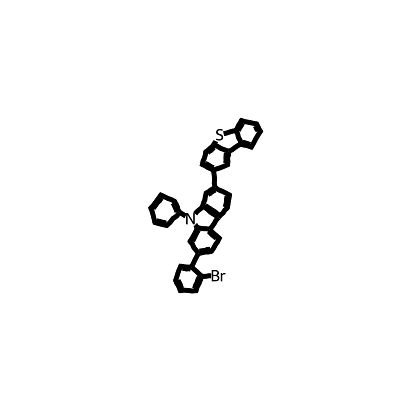 Brc1ccccc1-c1ccc2c3ccc(-c4ccc5sc6ccccc6c5c4)cc3n(-c3ccccc3)c2c1